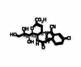 CC(C)C(=O)N[C@H]1[C@H]([C@H](O)[C@H](O)CO)OC(C(=O)O)=C[C@@H]1n1nc2ccc(Cl)cc2c1C#N